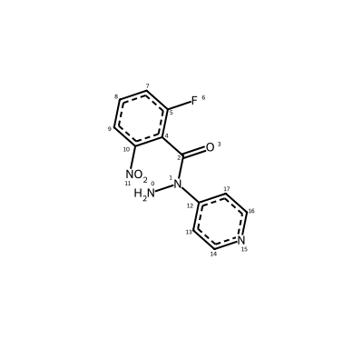 NN(C(=O)c1c(F)cccc1[N+](=O)[O-])c1ccncc1